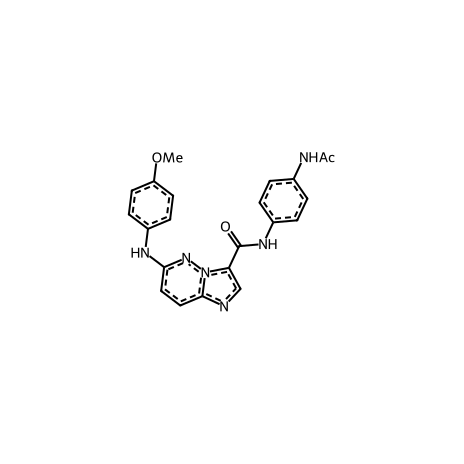 COc1ccc(Nc2ccc3ncc(C(=O)Nc4ccc(NC(C)=O)cc4)n3n2)cc1